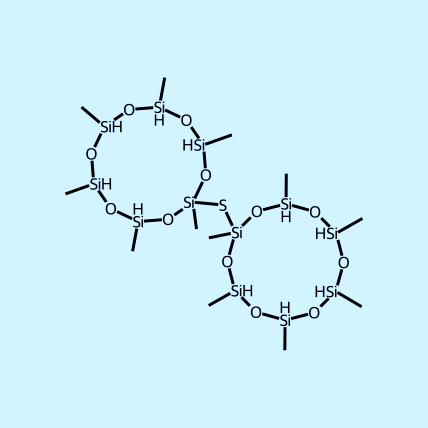 C[SiH]1O[SiH](C)O[SiH](C)O[Si](C)(S[Si]2(C)O[SiH](C)O[SiH](C)O[SiH](C)O[SiH](C)O[SiH](C)O2)O[SiH](C)O[SiH](C)O1